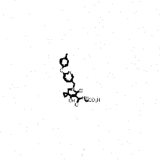 Cc1ccc(Oc2ccc(CN3CC4(CC4)C(O)=C(C(=O)NCC(=O)O)C3=O)cn2)cc1